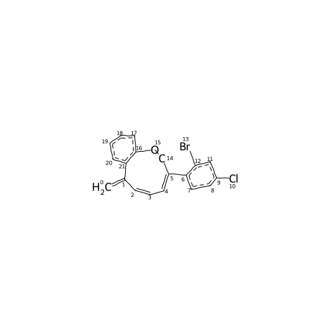 C=C1/C=C\C=C(\c2ccc(Cl)cc2Br)COc2ccccc21